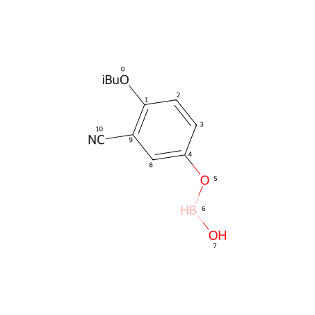 CC(C)COc1ccc(OBO)cc1C#N